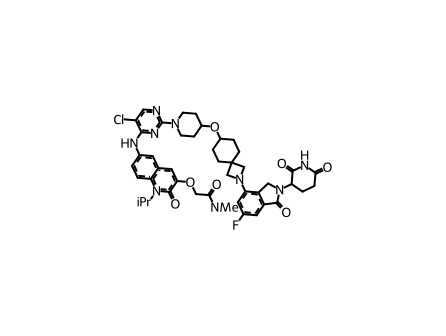 CNC(=O)COc1cc2cc(Nc3nc(N4CCC(OC5CCC6(CC5)CN(c5cc(F)cc7c5CN(C5CCC(=O)NC5=O)C7=O)C6)CC4)ncc3Cl)ccc2n(C(C)C)c1=O